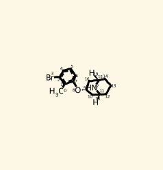 Cc1c(Br)cccc1O[C@H]1C[C@H]2CCC[C@@H](C1)N2